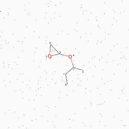 CCC(C)OC1CO1